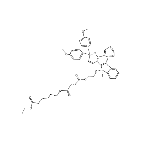 CCOC(=O)CCCCCOC(=O)CCC(=O)OCCOC1(C)c2ccccc2-c2c1c1c(c3ccccc23)OC(c2ccc(OC)cc2)(c2ccc(OC)cc2)C=C1